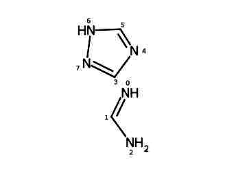 N=CN.c1nc[nH]n1